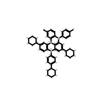 Cc1ccc(N2c3ccc(C)cc3B3c4cc(C5CCCCC5)ccc4N(c4ccc(C5CCCCC5)cc4)c4cc(C5CCCCC5)cc2c43)cc1